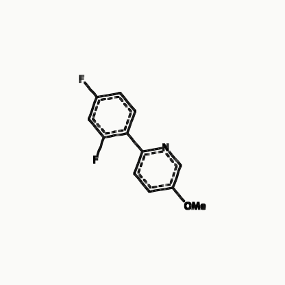 COc1ccc(-c2ccc(F)cc2F)nc1